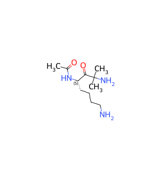 CC(=O)N[C@@H](CCCCN)C(=O)C(C)(C)N